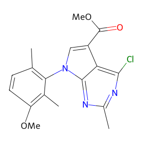 COC(=O)c1cn(-c2c(C)ccc(OC)c2C)c2nc(C)nc(Cl)c12